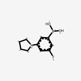 OB(O)c1cc(F)cc(N2CCCC2)c1